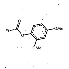 CCC(=O)Oc1ccc(OC)cc1OC